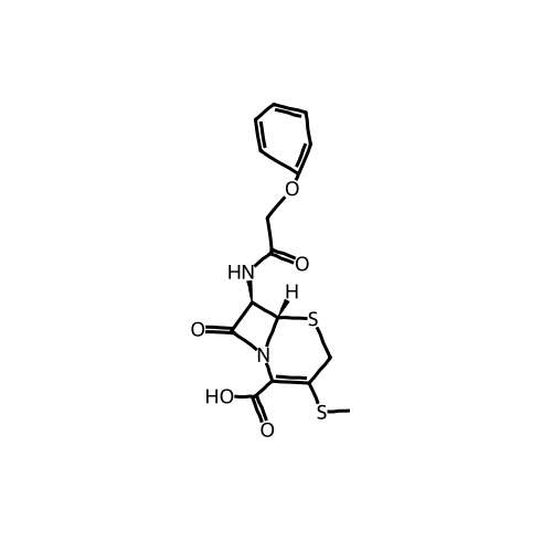 CSC1=C(C(=O)O)N2C(=O)[C@@H](NC(=O)COc3ccccc3)[C@@H]2SC1